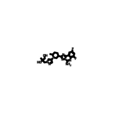 CC1CCC(c2nc3c4cc(F)cc(F)c4nc(N)n3n2)CN1c1cnn(CC(C)(O)CO)c1